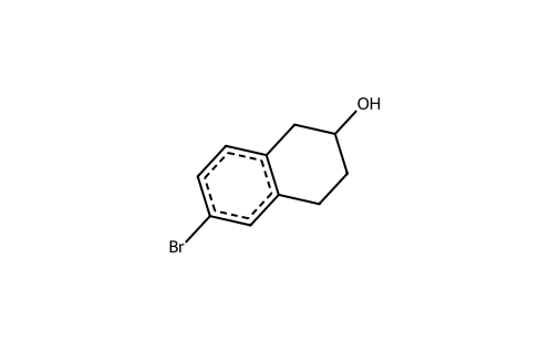 OC1CCc2cc(Br)ccc2C1